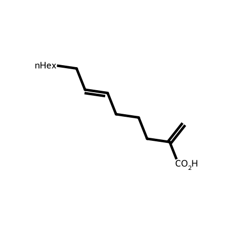 C=C(CCCC=CCCCCCCC)C(=O)O